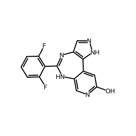 Oc1cc2c(cn1)NC(c1c(F)cccc1F)=Nc1cn[nH]c1-2